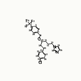 FC(F)(F)c1ccc(COC(CCCn2ccnc2)CCc2ccc(Cl)cc2)cc1